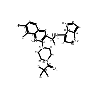 Cc1c(F)ccc2cc(C(C)Nc3ccnc4ccnn34)c(N3CCN(C(=O)C(C)(C)C)CC3)nc12